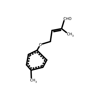 CC(C=O)=CCOc1ccc(C)cc1